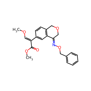 CO/C=C(/C(=O)OC)c1ccc2c(c1)/C(=N/OCc1ccccc1)COC2